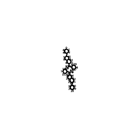 c1ccc(-c2ccc3cc(/C4=N/c5ccccc5/C(c5ccc6cc(-c7ccccc7)ccc6c5)=N\c5ccccc54)ccc3c2)cc1